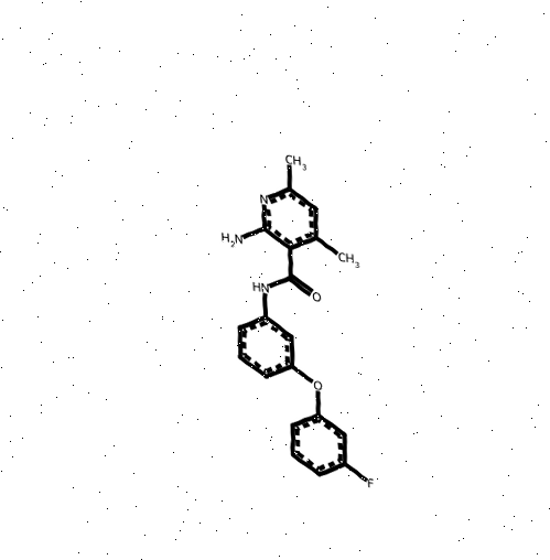 Cc1cc(C)c(C(=O)Nc2cccc(Oc3cccc(F)c3)c2)c(N)n1